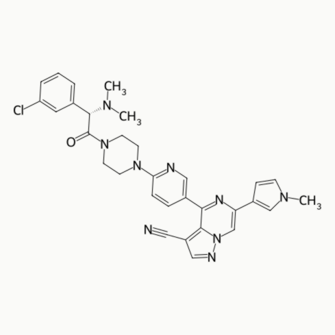 CN(C)[C@H](C(=O)N1CCN(c2ccc(-c3nc(-c4ccn(C)c4)cn4ncc(C#N)c34)cn2)CC1)c1cccc(Cl)c1